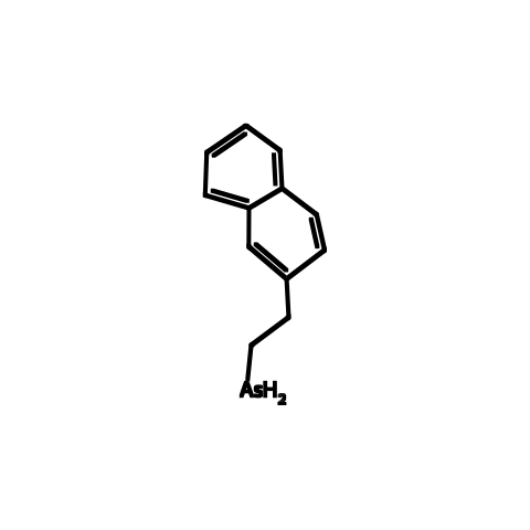 [AsH2]CCc1ccc2ccccc2c1